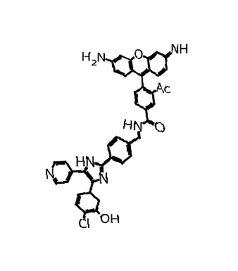 CC(=O)c1cc(C(=O)NCc2ccc(-c3nc(C4C=CC(Cl)=C(O)C4)c(-c4ccncc4)[nH]3)cc2)ccc1-c1c2ccc(=N)cc-2oc2cc(N)ccc12